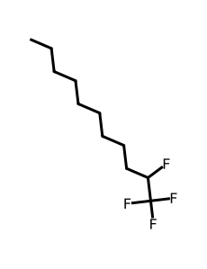 CCCCCCCCCC(F)C(F)(F)F